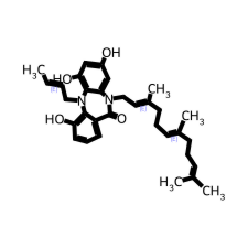 C/C=C/CN1c2c(O)cccc2C(=O)N(C/C=C(\C)CC/C=C(\C)CCC=C(C)C)c2cc(O)cc(O)c21